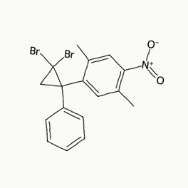 Cc1cc(C2(c3ccccc3)CC2(Br)Br)c(C)cc1[N+](=O)[O-]